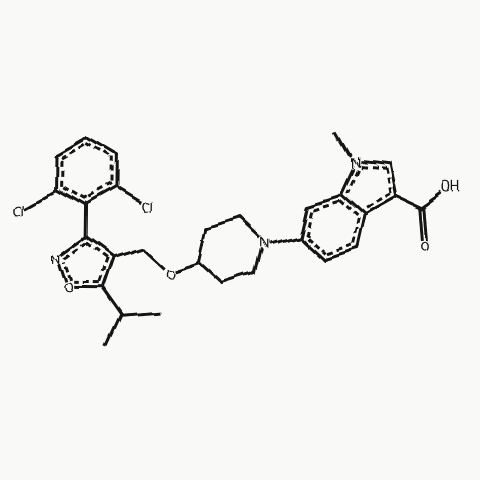 CC(C)c1onc(-c2c(Cl)cccc2Cl)c1COC1CCN(c2ccc3c(C(=O)O)cn(C)c3c2)CC1